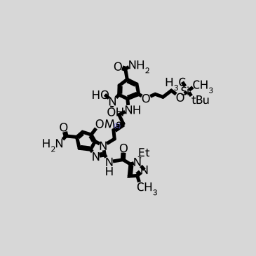 CCn1nc(C)cc1C(=O)Nc1nc2cc(C(N)=O)cc(OC)c2n1C/C=C/CNc1c(OCCCO[Si](C)(C)C(C)(C)C)cc(C(N)=O)cc1N(O)O